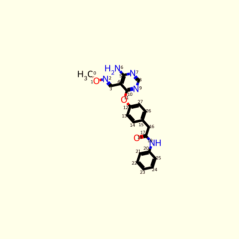 CON=Cc1c(N)ncnc1Oc1ccc(CC(=O)Nc2ccccc2)cc1